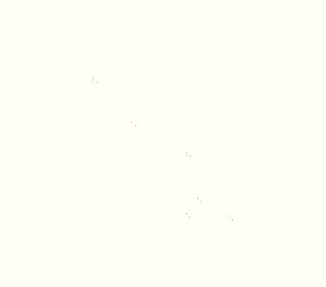 C[C@@H]1CN(c2ccc(C#N)n3nccc23)C[C@H](CN2Cc3ccncc3C2)O1